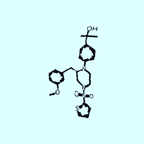 COc1cccc(C[C@@H]2CN(S(=O)(=O)c3cccs3)CCN2c2ccc(C(C)(C)O)cc2)c1